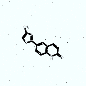 Cc1csc(-c2ccc3[nH]c(=O)ccc3c2)n1